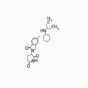 CCC(CC)N[C@H]1CCCC[C@@H]1Cc1ccc2c(c1)CN(C1CCC(=O)NC1=O)C2=O